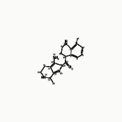 Cc1cccc2c1NCCC2C(=O)n1nc2c(c1N)CCNC2C